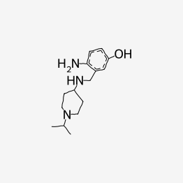 CC(C)N1CCC(NCc2cc(O)ccc2N)CC1